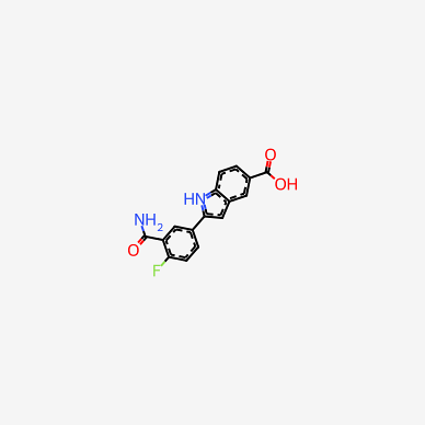 NC(=O)c1cc(-c2cc3cc(C(=O)O)ccc3[nH]2)ccc1F